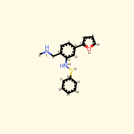 CNCc1ccc(-c2ccco2)cc1NSc1ccccc1